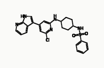 O=S(=O)(NC1CCC(Nc2cc(-c3c[nH]c4ncccc34)cc(Cl)n2)CC1)c1ccccc1